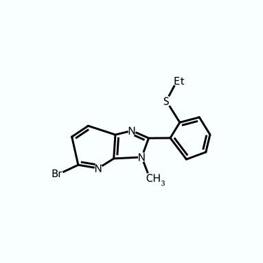 CCSc1ccccc1-c1nc2ccc(Br)nc2n1C